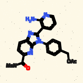 CNC(=O)c1ccc2nc(-c3cccnc3N)n(-c3ccc(COC(C)=O)cc3)c2n1